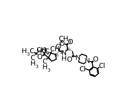 COC(=O)[C@H](CC(=O)N1CCN(C(=O)c2c(Cl)cccc2Cl)CC1)NC(=O)[C@@H]1CC[C@@](C)(C(=O)OC(C)(C)C)C1(C)C